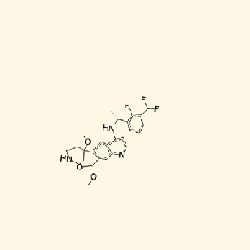 COC(=O)c1cc2nccc(N[C@H](C)c3cccc(C(F)F)c3F)c2cc1C1(OC)CCNCC1